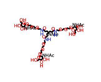 CNC(CCC(=O)NCCOCCOCCOC1OC(CO)C(O)C(O)C1NC(C)=O)(CCC(=O)NCCOCCOCCOC1OC(CO)C(O)C(O)C1NC(C)=O)CCC(=O)NCCOCCOCCOC1OC(CO)C(O)C(O)C1NC(C)=O